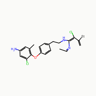 C=C(CC)/C(Cl)=C(\N=C/C)NCCc1ccc(Oc2c(C)cc(N)cc2Cl)cc1